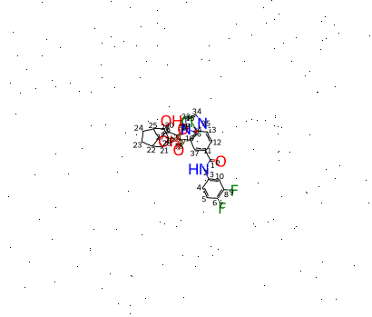 O=C(Nc1ccc(F)c(F)c1)c1ccc(Cl)c(S(=O)(=O)[C@H]2CC3CCC(C2)[C@@]3(O)C(O)Cn2ccnc2)c1